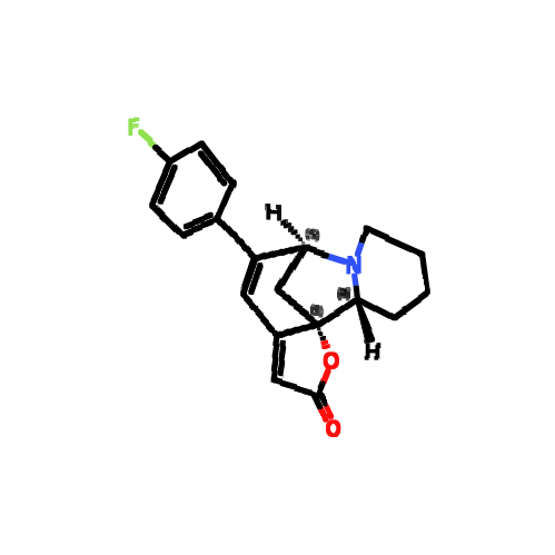 O=C1C=C2C=C(c3ccc(F)cc3)[C@@H]3C[C@@]2(O1)[C@H]1CCCCN31